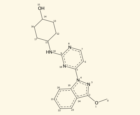 COc1nn(-c2ccnc(NC3CCC(O)CC3)n2)c2ccccc12